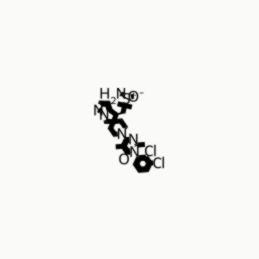 Cc1c(N2CCC3(CC2)Cn2nccc2[C@H]3CC(C)(C)[S+](N)[O-])nc(C)n(-c2cccc(Cl)c2Cl)c1=O